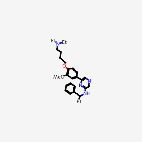 CCC(Nc1cncc(-c2ccc(OCCCCN(CC)CC)c(OC)c2)n1)c1ccccc1